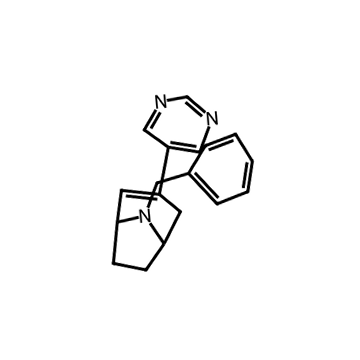 C1=C(c2cncnc2)CC2CCC1N2Cc1ccccc1